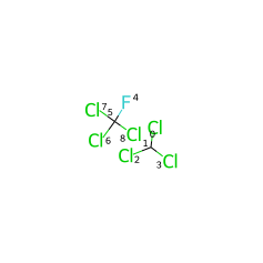 ClC(Cl)Cl.FC(Cl)(Cl)Cl